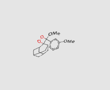 COc1cccc(C2(OC)OOC23C2CC4CC(C2)CC3C4)c1